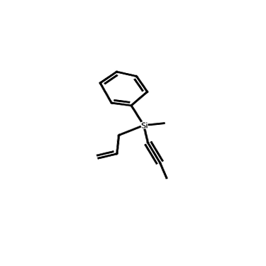 C=CC[Si](C)(C#CC)c1ccccc1